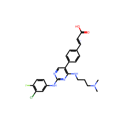 CN(C)CCCNc1nc(Nc2ccc(F)c(Cl)c2)ncc1-c1ccc(/C=C/C(=O)O)cc1